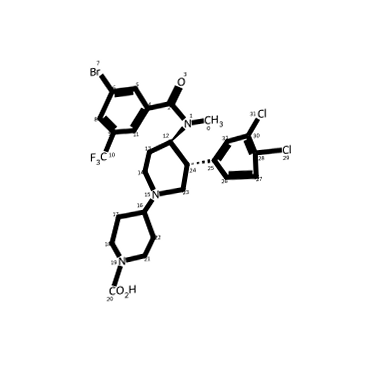 CN(C(=O)c1cc(Br)cc(C(F)(F)F)c1)[C@@H]1CCN(C2CCN(C(=O)O)CC2)C[C@H]1c1ccc(Cl)c(Cl)c1